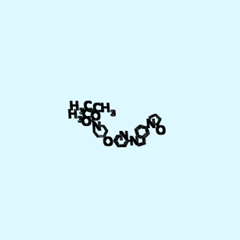 CC(C)(C)OC(=O)N1CCC(Oc2ccc(-n3ccc4cc(N5CCCC5=O)ccc43)nc2)CC1